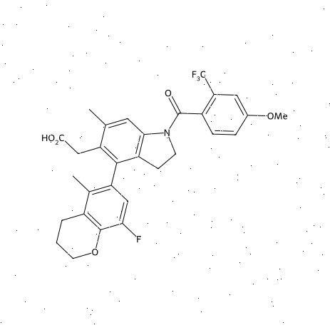 COc1ccc(C(=O)N2CCc3c2cc(C)c(CC(=O)O)c3-c2cc(F)c3c(c2C)CCCO3)c(C(F)(F)F)c1